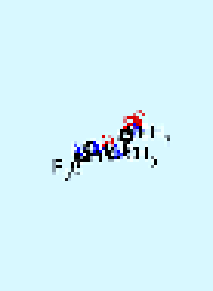 CCCC1(C(=O)N2CCc3ncc(C(F)(F)F)cc3C2)CCN(C(C)c2ccc3oc(=O)n(C)c3c2)C1